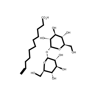 C=CCCCCCCCCC(=O)O.OC[C@H]1O[C@H](O[C@H]2O[C@H](CO)[C@@H](O)[C@H](O)[C@H]2O)[C@H](O)[C@@H](O)[C@@H]1O